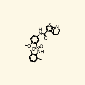 COc1ccc(NC(=O)c2csc3c2C2CCN3CC2)cc1S(=O)(=O)Nc1c(C)cccc1C